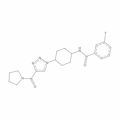 O=C(NC1CCC(n2cc(C(=O)N3CCCC3)nn2)CC1)c1cccc(F)c1